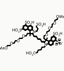 COCCOCCOCCOCCC1(C)C(/C=C/C=C/C=C2/N(CCCCCC(=O)O)c3ccc4c(S(=O)(=O)[O-])cc(S(=O)(=O)O)cc4c3C2(C)CCOCCOCCOCCOC)=[N+](CCCS(=O)(=O)O)c2ccc3c(S(=O)(=O)O)cc(S(=O)(=O)O)cc3c21